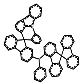 c1ccc(N(c2ccc3c(c2)C2(c4ccccc4-3)c3ccccc3-n3c4ccccc4c4cccc2c43)c2cccc3c2-c2ccccc2C32c3ccccc3-c3ccccc32)cc1